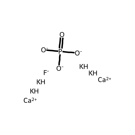 O=P([O-])([O-])[O-].[Ca+2].[Ca+2].[F-].[KH].[KH].[KH].[KH]